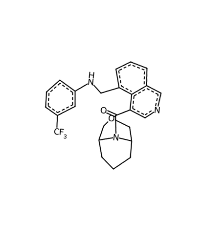 O=C(c1cncc2cccc(CNc3cccc(C(F)(F)F)c3)c12)N1C2CCCC1COC2